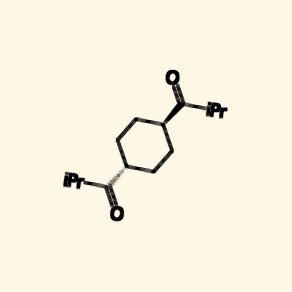 CC(C)C(=O)[C@H]1CC[C@H](C(=O)C(C)C)CC1